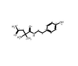 CC(N)(CC(N)=O)C(=O)NCCc1ccc(O)cc1